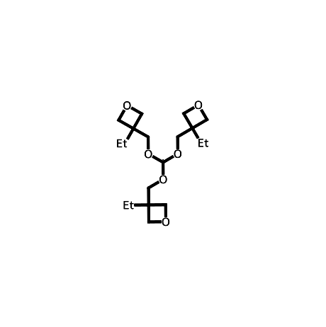 CCC1(CO[C](OCC2(CC)COC2)OCC2(CC)COC2)COC1